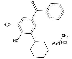 CNC.Cc1cc(C(=O)c2ccccc2)cc(C2CCCCC2)c1O.Cl